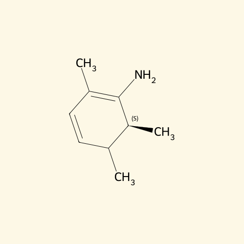 CC1=C(N)[C@@H](C)C(C)C=C1